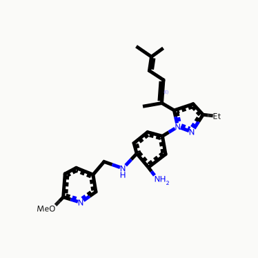 CCc1cc(/C(C)=C/C=C(C)C)n(-c2ccc(NCc3ccc(OC)nc3)c(N)c2)n1